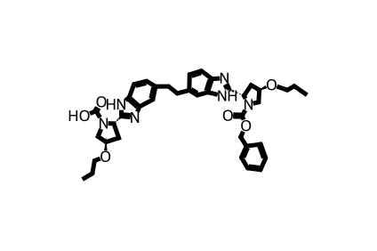 CCCO[C@@H]1C[C@@H](c2nc3cc(CCc4ccc5nc([C@@H]6C[C@@H](OCCC)CN6C(=O)OCc6ccccc6)[nH]c5c4)ccc3[nH]2)N(C(=O)O)C1